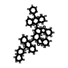 c1ccc(-c2c3ccccc3c(-c3cc4cc(-c5c6ccccc6c(-c6ccc7ccccc7c6)c6ccccc56)c5oc6ccccc6c5c4c4c3oc3ccccc34)c3ccccc23)cc1